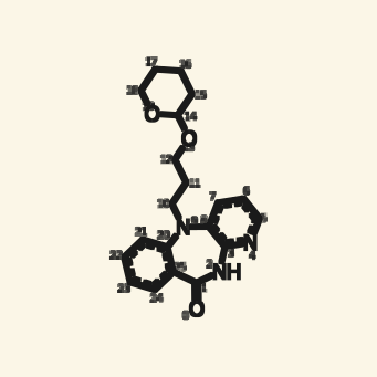 O=C1Nc2ncccc2N(CCCOC2CCCCO2)c2ccccc21